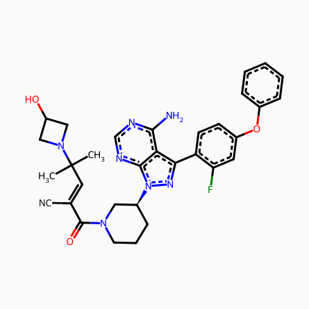 CC(C)(C=C(C#N)C(=O)N1CCC[C@H](n2nc(-c3ccc(Oc4ccccc4)cc3F)c3c(N)ncnc32)C1)N1CC(O)C1